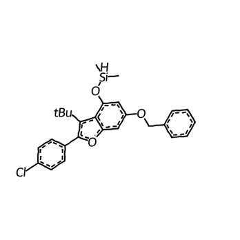 C[SiH](C)Oc1cc(OCc2ccccc2)cc2oc(-c3ccc(Cl)cc3)c(C(C)(C)C)c12